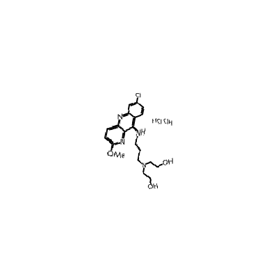 COc1ccc2nc3cc(Cl)ccc3c(NCCCN(CCO)CCO)c2n1.Cl.Cl